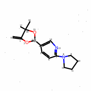 C=C1OB(c2ccc(N3CCCC3)nc2)OC1(C)C